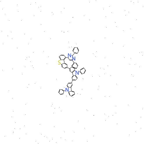 c1ccc(-c2cc(-c3cccc4sc5ccc(-c6ccc7c(c6)c6cc(-c8ccc9c(c8)c8ccccc8n9-c8ccccc8)ccc6n7-c6ccccc6)cc5c34)nc(-c3ccccc3)n2)cc1